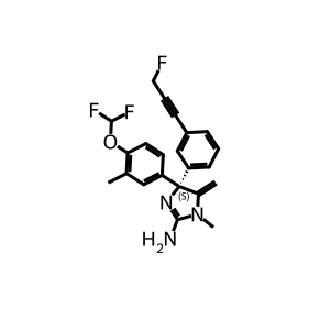 C=C1N(C)C(N)=N[C@@]1(c1cccc(C#CCF)c1)c1ccc(OC(F)F)c(C)c1